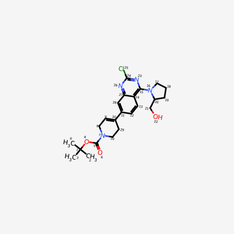 CC(C)(C)OC(=O)N1CC=C(c2ccc3c(N4CCCC4CO)nc(Cl)nc3c2)CC1